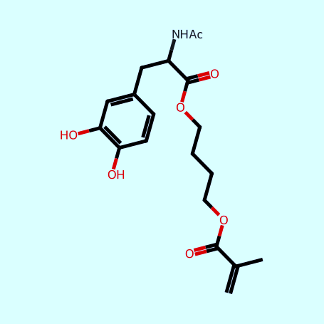 C=C(C)C(=O)OCCCCOC(=O)C(Cc1ccc(O)c(O)c1)NC(C)=O